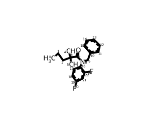 CCCC(C)(C)C(=O)N(Cc1ccccc1)c1ccc(F)cc1F